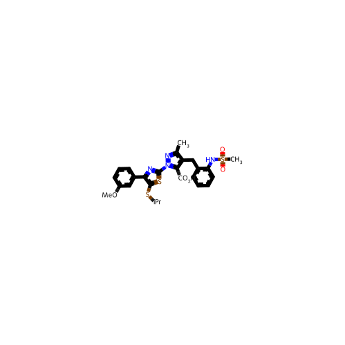 COc1cccc(-c2nc(-n3nc(C)c(Cc4ccccc4NS(C)(=O)=O)c3C(=O)O)sc2SC(C)C)c1